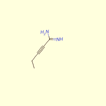 CCC#CC(=N)N